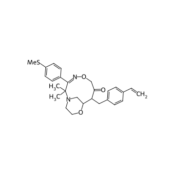 C=Cc1ccc(CC2C(=O)CO/N=C(/c3ccc(SC)cc3)C(C)(C)N3CCOC2C3)cc1